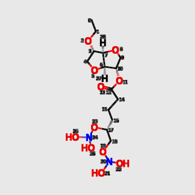 CCO[C@H]1CO[C@H]2[C@@H]1OC[C@@H]2OC(=O)CCC[C@H](CON(O)O)ON(O)O